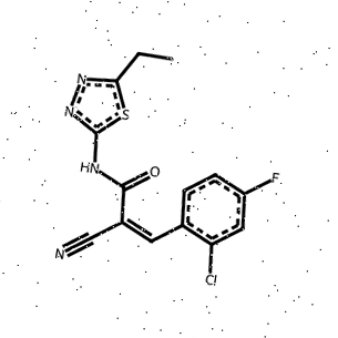 CCc1nnc(NC(=O)C(C#N)=Cc2ccc(F)cc2Cl)s1